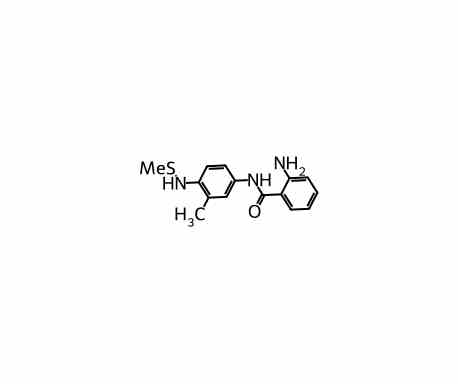 CSNc1ccc(NC(=O)c2ccccc2N)cc1C